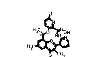 Cc1cc([C@@H](C)Oc2ccc(Cl)nc2C(N)=NO)c2oc(-c3cccnc3)c(C)c(=O)c2c1